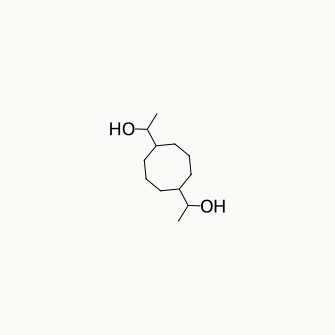 CC(O)C1CCCC(C(C)O)CCC1